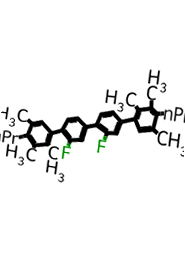 CCCc1c(C)cc(-c2ccc(-c3ccc(-c4cc(C)c(CCC)c(C)c4C)c(F)c3)c(F)c2)c(C)c1C